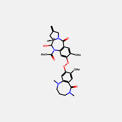 C=C1C[C@H]2C(O)N(C(=O)OC)c3cc(OOc4cc5c(cc4OC)C(=O)N(C)CCCN5C)c(OC)cc3C(=O)N2C1